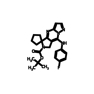 CC(C)(C)OC(=O)N1Cc2c(nc3ccnn3c2Nc2ccc(F)cc2)C12CCCC2